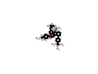 C[SiH](C)[Zr]([Cl])([Cl])([CH]1C(CC2(C)COC2)=Cc2c(-c3ccc(C(C)(C)C)cc3)cccc21)[CH]1C(CC2(C)COC2)=Cc2c(-c3ccc(C(C)(C)C)cc3)cccc21